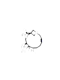 CC(C)N[C@@]1(C)CCC/C=C\CN2CC(C(=O)C(C)C)(C2)NCC1=O